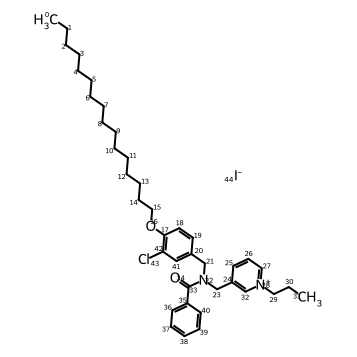 CCCCCCCCCCCCCCCCOc1ccc(CN(Cc2ccc[n+](CCC)c2)C(=O)c2ccccc2)cc1Cl.[I-]